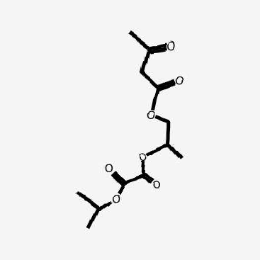 CC(=O)CC(=O)OCC(C)OC(=O)C(=O)OC(C)C